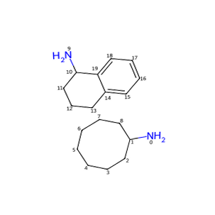 NC1CCCCCCC1.NC1CCCc2ccccc21